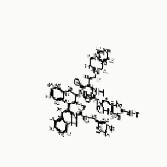 CC(C)c1nc(CN(C)C(=O)NC(CCN2CCn3cncc3C2)C(=O)NC(CCC(Cc2ccccc2)NC(=O)OCc2cncs2)Cc2ccccc2)cs1